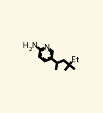 CCC(C)(C)CC(C)c1ccc(N)nc1